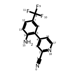 N#Cc1cc(-c2cc(C(F)(F)F)ccc2N)ccn1